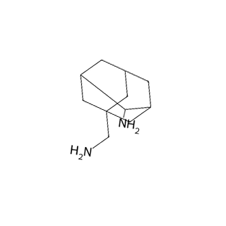 NCC12CC3CC(C1)C(N)C(C3)C2